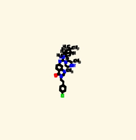 C[C@H]1[C@@H](NC(=Nc2ccc3c(=O)n(CCc4ccc(Cl)cc4)cnc3c2)N2C[C@@H](C)N[C@@H](C)C2)C[C@@H]2C[C@@H]1C2(C)C